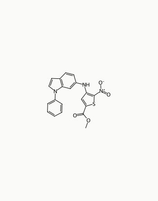 COC(=O)c1cc(Nc2ccc3ccn(-c4ccccc4)c3c2)c([N+](=O)[O-])s1